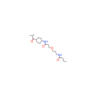 CCCC(=O)NCCCOCCC(=O)N[C@H]1CC[C@@H](C(=O)C(C)C)CC1